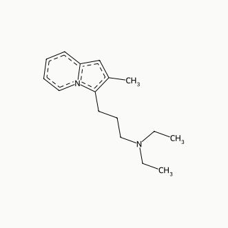 CCN(CC)CCCc1c(C)cc2ccccn12